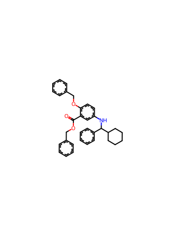 O=C(OCc1ccccc1)c1cc(NC(c2ccccc2)C2CCCCC2)ccc1OCc1ccccc1